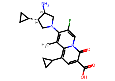 Cc1c(N2C[C@H](C3CC3)[C@@H](N)C2)c(F)cn2c(=O)c(C(=O)O)cc(C3CC3)c12